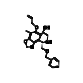 C=CCOc1c(C)c2c(c3c1C(O)CN[C@@H]3COCc1ccccc1)OCO2